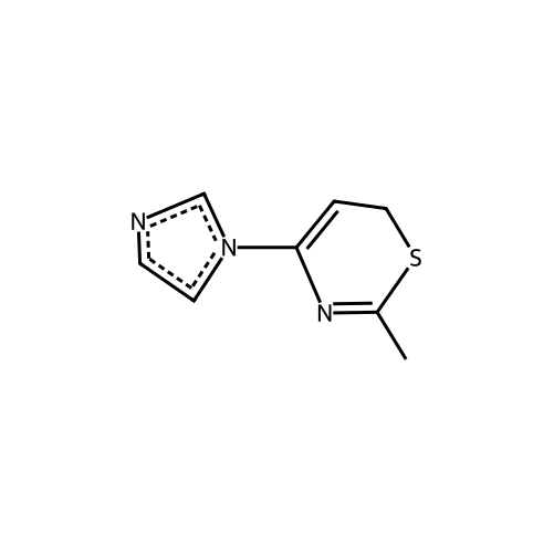 CC1=NC(n2ccnc2)=CCS1